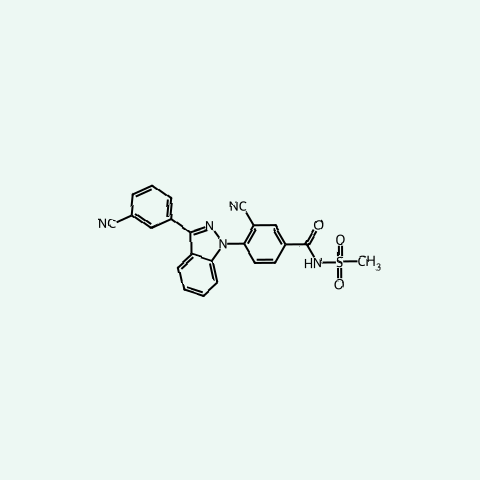 CS(=O)(=O)NC(=O)c1ccc(-n2nc(-c3cccc(C#N)c3)c3ccccc32)c(C#N)c1